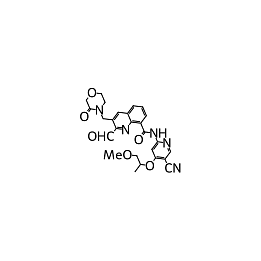 COCC(C)Oc1cc(NC(=O)c2cccc3cc(CN4CCOCC4=O)c(C=O)nc23)ncc1C#N